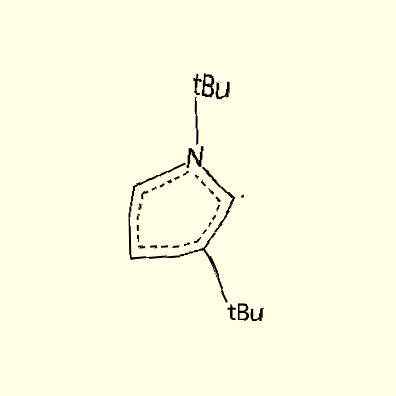 CC(C)(C)c1[c]n(C(C)(C)C)cc1